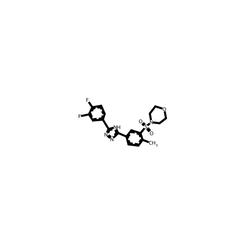 Cc1ccc(-c2nnc(-c3ccc(F)c(F)c3)[nH]2)cc1S(=O)(=O)N1CCOCC1